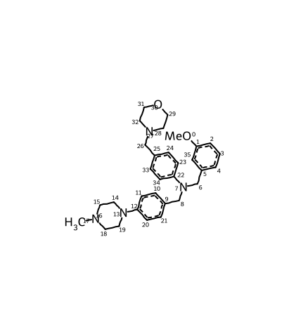 COc1cccc(CN(Cc2ccc(N3CCN(C)CC3)cc2)c2ccc(CN3CCOCC3)cc2)c1